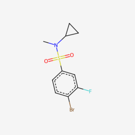 CN(C1CC1)S(=O)(=O)c1ccc(Br)c(F)c1